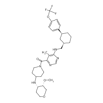 CO[C@@H]1COCC[C@@H]1NC1CCN(C(=O)c2ncnc(NC[C@@H]3CCC[C@H](c4ccc(OC(F)(F)F)cc4)C3)c2C)CC1